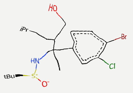 CC(C)C(CO)C(C)(N[S@@+]([O-])C(C)(C)C)c1ccc(Br)c(Cl)c1